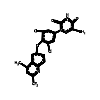 Cc1cc(C(F)(F)F)nc2ccc(Oc3c(Cl)cc(-n4nc(N)c(=O)[nH]c4=O)cc3Cl)cc12